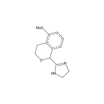 CSc1cccc2c1CCOC2C1=NCCN1